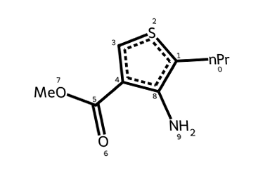 CCCc1scc(C(=O)OC)c1N